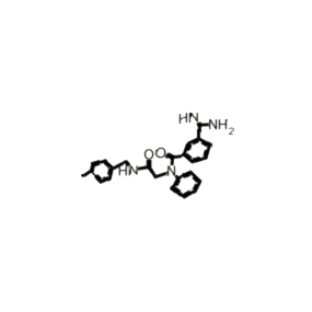 Cc1ccc(CNC(=O)CN(C(=O)c2cccc(C(=N)N)c2)c2ccccc2)cc1